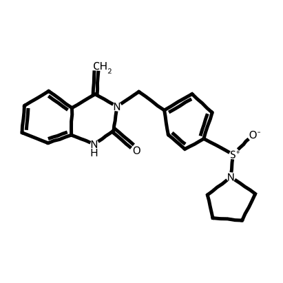 C=C1c2ccccc2NC(=O)N1Cc1ccc([S+]([O-])N2CCCC2)cc1